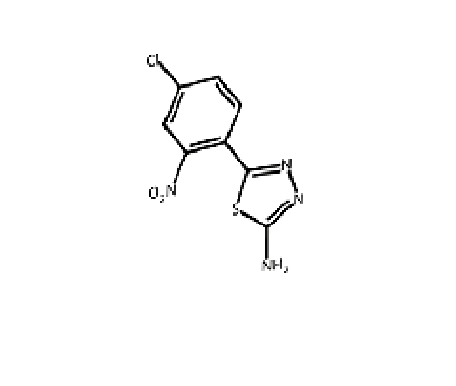 Nc1nnc(-c2ccc(Cl)cc2[N+](=O)[O-])s1